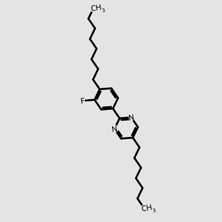 CCCCCCCCc1ccc(-c2ncc(CCCCCCC)cn2)cc1F